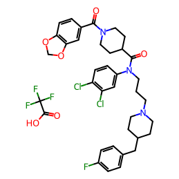 O=C(O)C(F)(F)F.O=C(c1ccc2c(c1)OCO2)N1CCC(C(=O)N(CCCN2CCC(Cc3ccc(F)cc3)CC2)c2ccc(Cl)c(Cl)c2)CC1